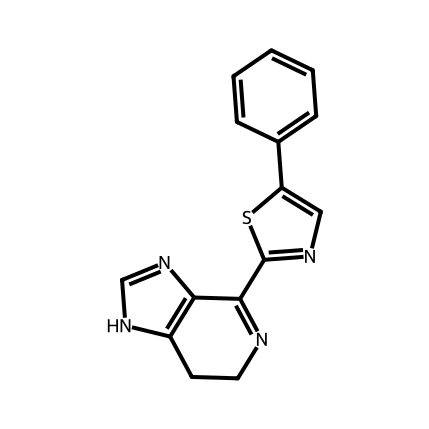 c1ccc(-c2cnc(C3=NCCc4[nH]cnc43)s2)cc1